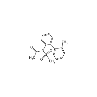 CC(=O)N(c1ccccc1-c1ccccc1C)S(C)(=O)=O